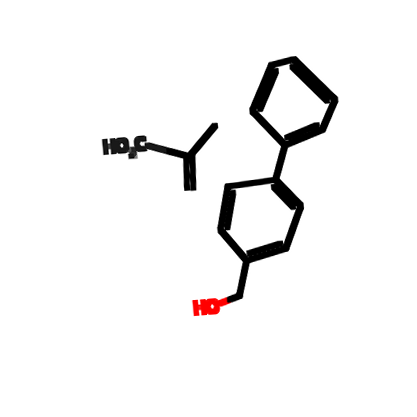 C=C(C)C(=O)O.OCc1ccc(-c2ccccc2)cc1